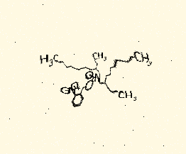 CCCCCCCCC(CCC)CN(CC(CCC)CCCCCCCC)C(=O)OCc1ccccc1[N+](=O)[O-]